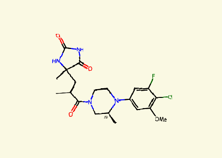 COc1cc(N2CCN(C(=O)C(C)CC3(C)NC(=O)NC3=O)C[C@@H]2C)cc(F)c1Cl